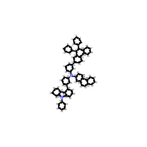 c1ccc(-c2c(-c3ccccc3)c3cc(-c4cccc(N(c5cccc(-c6cccc7c6c6ccccc6n7-c6ccccc6)c5)c5ccc6c(ccc7ccccc76)c5)c4)ccc3c3ccccc23)cc1